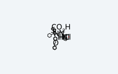 CN(CCN1CCCCC1)CCn1c(-c2ccc(OCc3ccccc3)cc2)c(C2CCCCC2)c2sc(C(=O)O)cc21.Cl.Cl